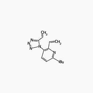 C=Cc1nc(C(C)CC)ccc1-n1nnnc1C=C